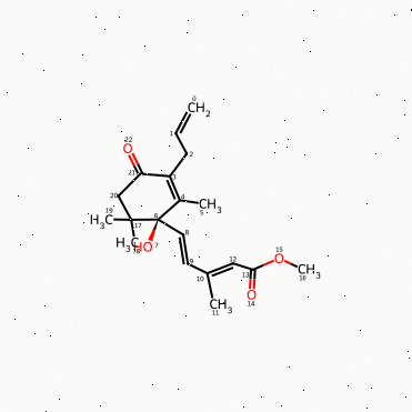 C=CCC1=C(C)[C@](O)(C=CC(C)=CC(=O)OC)C(C)(C)CC1=O